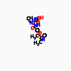 C#CCN1CC(NC(=O)c2ccc(OC(C)c3cc(C)nc4ccccc34)cc2)C(C(=O)NO)C1